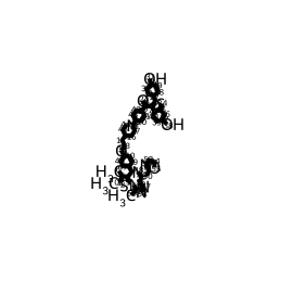 Cc1sc2c(c1C)C(c1ccc(OCCC3CCN(c4ccc(C(=O)c5c(-c6ccc(O)cc6)sc6cc(O)ccc56)cc4)CC3)cc1)=N[C@@H](Cc1ncco1)c1nnc(C)n1-2